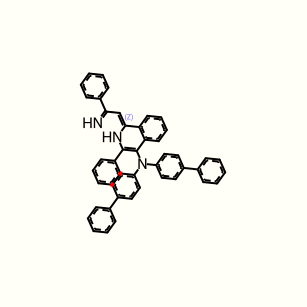 N=C(/C=C1\NC(c2ccccc2)=C(N(c2ccc(-c3ccccc3)cc2)c2ccc(-c3ccccc3)cc2)c2ccccc21)c1ccccc1